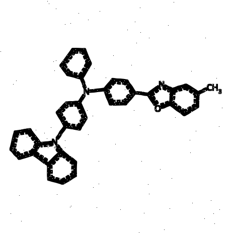 Cc1ccc2oc(-c3ccc(N(c4ccccc4)c4ccc(-n5c6ccccc6c6ccccc65)cc4)cc3)nc2c1